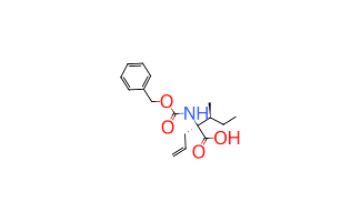 C=CC[C@@](NC(=O)OCc1ccccc1)(C(=O)O)[C@@H](C)CC